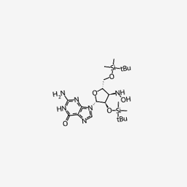 CC(C)(C)[Si](C)(C)OC[C@H]1O[C@@H](n2cnc3c(=O)[nH]c(N)nc32)[C@H](O[Si](C)(C)C(C)(C)C)[C@@H]1NO